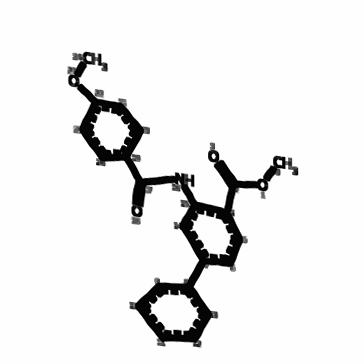 COC(=O)c1ccc(-c2ccccc2)cc1NC(=O)c1ccc(OC)cc1